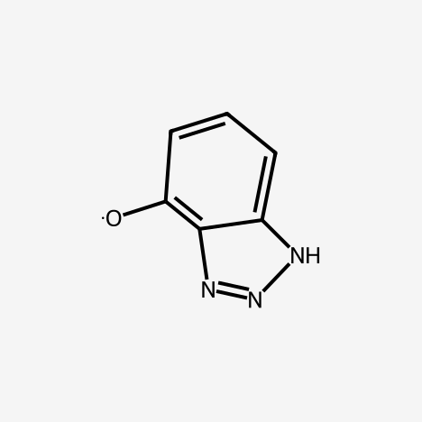 [O]c1cccc2[nH]nnc12